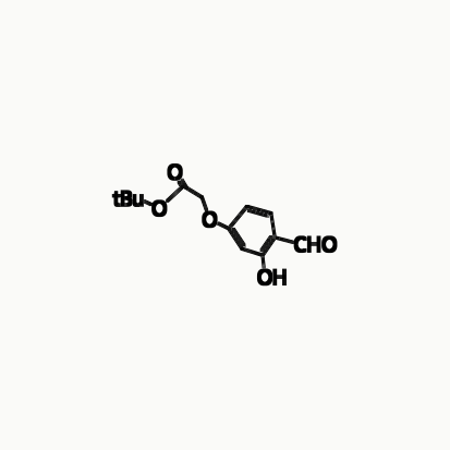 CC(C)(C)OC(=O)COc1ccc(C=O)c(O)c1